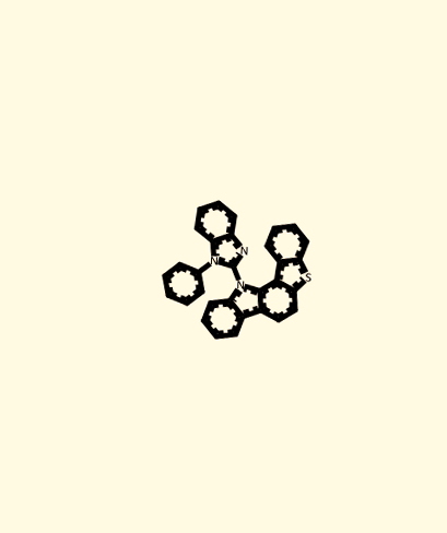 c1ccc(-n2c(-n3c4ccccc4c4ccc5sc6ccccc6c5c43)nc3ccccc32)cc1